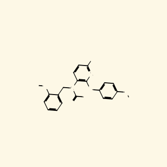 COc1ccc(Oc2nc(F)ccc2N(Cc2ccccc2OC)C(C)=O)cc1